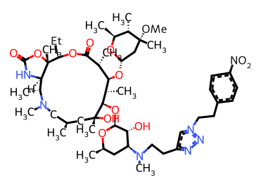 CC[C@H]1OC(=O)[C@H](C)[C@@H](O[C@H]2C[C@@](C)(OC)[C@@H](C)[C@H](C)O2)[C@H](C)[C@@H](O[C@@H]2O[C@H](C)C[C@H](N(C)CCc3cn(CCc4ccc([N+](=O)[O-])cc4)nn3)[C@H]2O)[C@](C)(O)C[C@@H](C)CN(C)[C@H](C)[C@H]2NC(=O)O[C@@]21C